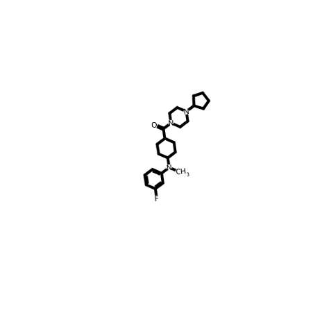 CN(c1cccc(F)c1)C1CCC(C(=O)N2CCN(C3CCCC3)CC2)CC1